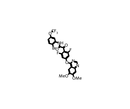 COc1cc2ncnc(Oc3cc(F)c(C(=O)C(=O)Nc4cc(OC(F)(F)F)ccc4Br)c(F)c3)c2cc1OC